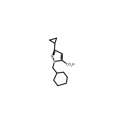 O=C(O)c1cc(C2CC2)nn1CC1CCCCC1